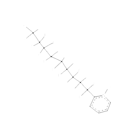 CC[n+]1ccccc1C(F)(F)C(F)(F)C(F)(F)C(F)(F)C(F)(F)C(F)(F)C(F)(F)C(F)(F)C(F)(F)C(F)(F)F